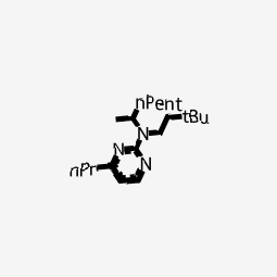 CCCCCC(C)N(CCC(C)(C)C)c1nccc(CCC)n1